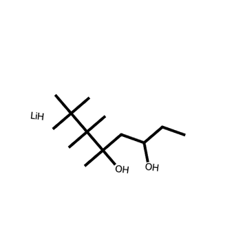 CCC(O)CC(C)(O)C(C)(C)C(C)(C)C.[LiH]